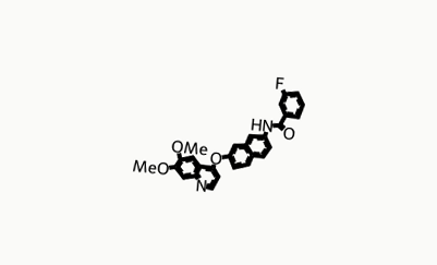 COc1cc2nccc(Oc3ccc4ccc(NC(=O)c5cccc(F)c5)cc4c3)c2cc1OC